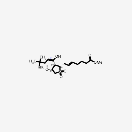 CCCCC(C)(C)C/C=C(/O)[C@H]1[C@@H](O)CS(=O)(=O)[C@H]1CC=CCCCC(=O)OC